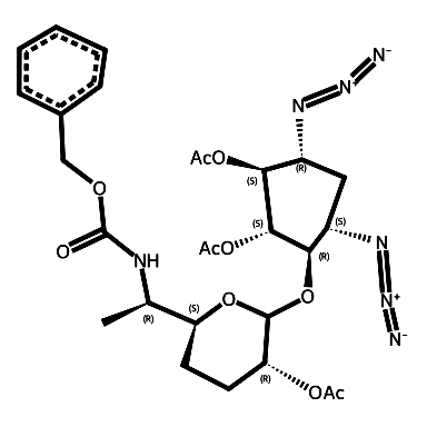 CC(=O)O[C@@H]1[C@@H](OC(C)=O)[C@H](N=[N+]=[N-])C[C@H](N=[N+]=[N-])[C@H]1OC1O[C@H]([C@@H](C)NC(=O)OCc2ccccc2)CC[C@H]1OC(C)=O